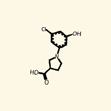 O=C(O)C1CCN(c2cc(O)cc(Cl)c2)C1